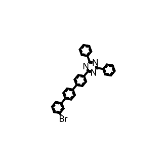 Brc1cccc(-c2ccc(-c3ccc(-c4nc(-c5ccccc5)nc(-c5ccccc5)n4)cc3)cc2)c1